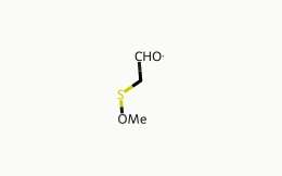 COSC[C]=O